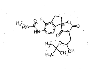 CNC(=O)Nc1ccc2c(c1F)CC[C@]21OC(=O)N(CC(O)OC(C)(C)C)C1=O